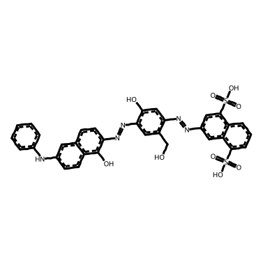 O=S(=O)(O)c1cc(N=Nc2cc(O)c(N=Nc3ccc4cc(Nc5ccccc5)ccc4c3O)cc2CO)cc2c(S(=O)(=O)O)cccc12